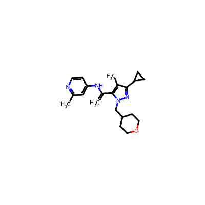 C=C(Nc1ccnc(C)c1)c1c(C(F)(F)F)c(C2CC2)nn1CC1CCOCC1